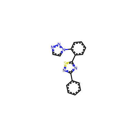 [c]1ccccc1-c1nsc(-c2ccccc2-n2ccnn2)n1